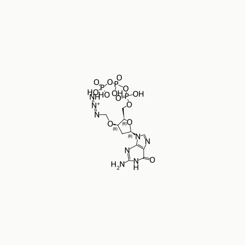 N=[N+]=NCO[C@@H]1C[C@H](n2cnc3c(=O)[nH]c(N)nc32)O[C@@H]1COP(=O)(O)OP(=O)(O)OP(=O)(O)O